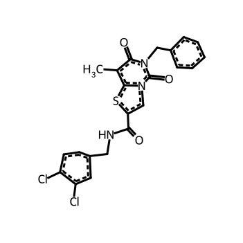 Cc1c(=O)n(Cc2ccccc2)c(=O)n2cc(C(=O)NCc3ccc(Cl)c(Cl)c3)sc12